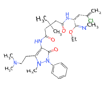 C=C(Cl)/C=C(NC(=O)CC(C)(C)CC(=O)Nc1c(CCN(C)C)n(C)n(-c2ccccc2)c1=O)\C(=N/C)OCC